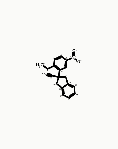 CCc1ccc([N+](=O)[O-])cc1C1(C#N)Cc2ccccc2C1